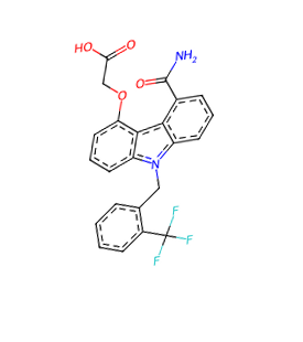 NC(=O)c1cccc2c1c1c(OCC(=O)O)cccc1n2Cc1ccccc1C(F)(F)F